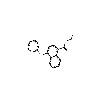 CCOC(=O)c1ccc(Oc2ncccn2)c2ccccc12